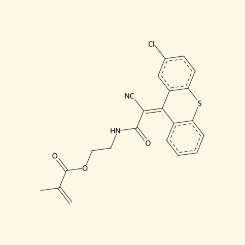 C=C(C)C(=O)OCCNC(=O)/C(C#N)=C1\c2ccccc2Sc2ccc(Cl)cc21